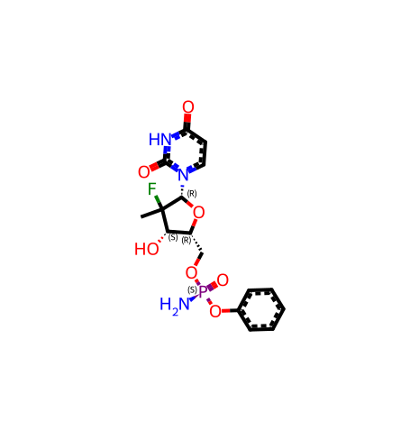 CC1(F)[C@@H](O)[C@@H](CO[P@](N)(=O)Oc2ccccc2)O[C@H]1n1ccc(=O)[nH]c1=O